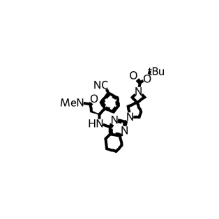 CNC(=O)C[C@H](Nc1nc(N2CCC3(CN(C(=O)OC(C)(C)C)C3)C2)nc2c1CCCC2)c1cccc(C#N)c1